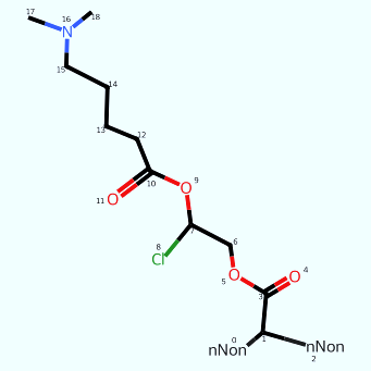 CCCCCCCCCC(CCCCCCCCC)C(=O)OCC(Cl)OC(=O)CCCCN(C)C